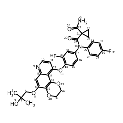 CC(C)(O)COc1cc2nccc(Oc3ccc(N(C(=O)C4(C(N)=O)CC4)c4ccc(F)cc4)cc3F)c2c2c1OCCO2